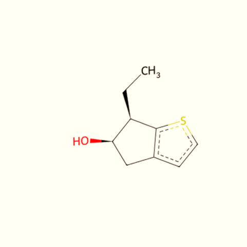 CC[C@H]1c2sccc2C[C@H]1O